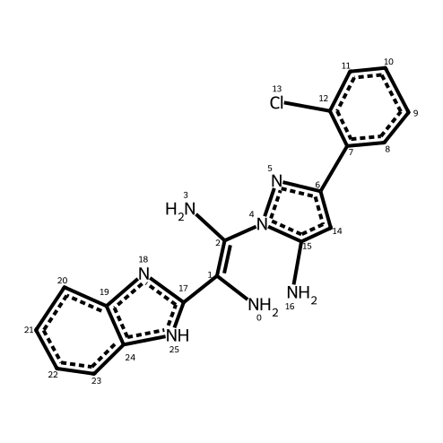 N/C(=C(/N)n1nc(-c2ccccc2Cl)cc1N)c1nc2ccccc2[nH]1